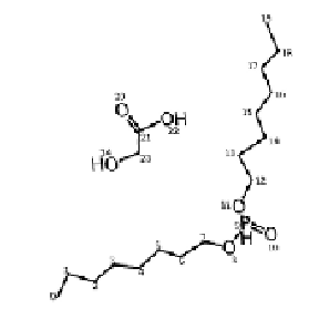 CCCCCCCCO[PH](=O)OCCCCCCCC.O=C(O)CO